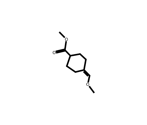 COC=C1CCC(C(=O)OC)CC1